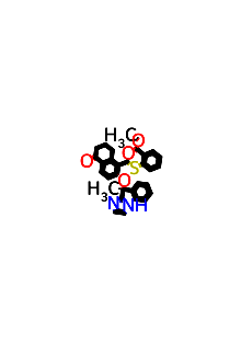 COC(=O)c1ccccc1SCc1c(O[C@@](C)(c2ccccc2)c2ncc[nH]2)ccc2c1CCCC2=O